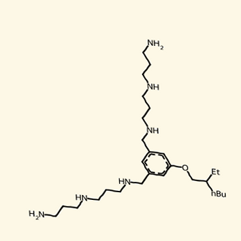 CCCCC(CC)COc1cc(CNCCCNCCCN)cc(CNCCCNCCCN)c1